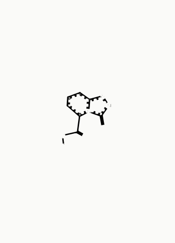 COC(=O)c1cccc2n[nH]c(=O)n12